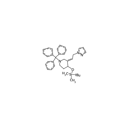 CC(C)(C)[Si](C)(C)OC1CCN(C(c2ccccc2)(c2ccccc2)c2ccccc2)CC1=CCn1cccn1